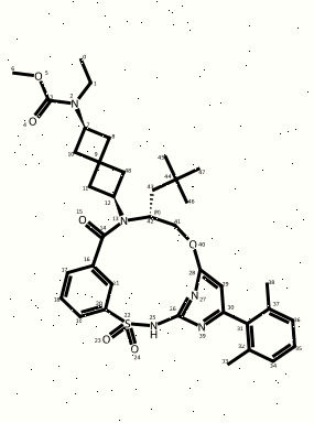 CCN(C(=O)OC)[C@H]1CC2(C1)C[C@H](N1C(=O)c3cccc(c3)S(=O)(=O)Nc3nc(cc(-c4c(C)cccc4C)n3)OC[C@H]1CC(C)(C)C)C2